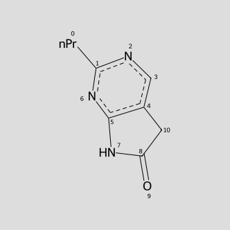 CCCc1ncc2c(n1)NC(=O)C2